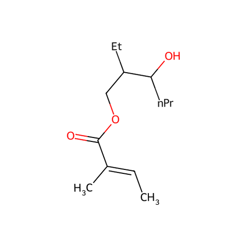 CC=C(C)C(=O)OCC(CC)C(O)CCC